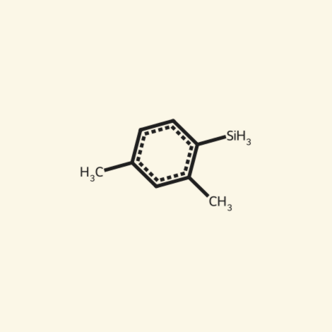 Cc1ccc([SiH3])c(C)c1